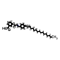 CCCCCCCCCCCCCCCCNc1ccc(/C=C/C(=O)Oc2cncc(C(=O)O)c2)cc1